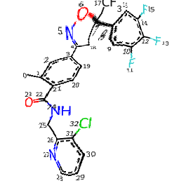 Cc1cc(C2=NOC(c3cc(F)c(F)c(F)c3)(C(F)(F)F)C2)ccc1C(=O)NCc1ncccc1Cl